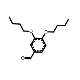 CCCCOc1ccc(C=O)cc1OCCCC